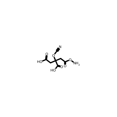 N#COC(CC(=O)O)(CC(=O)ON)C(=O)O